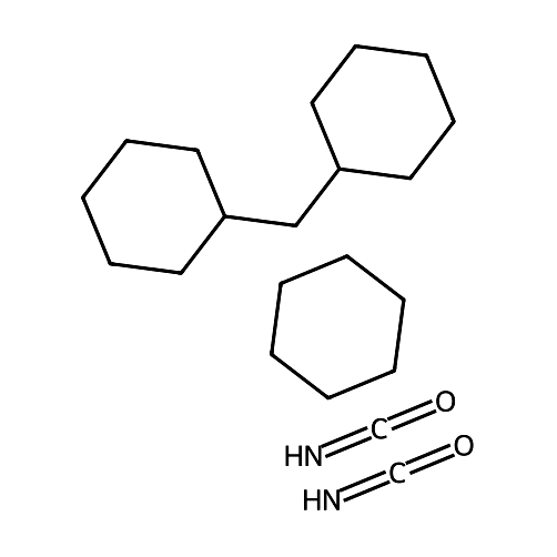 C1CCC(CC2CCCCC2)CC1.C1CCCCC1.N=C=O.N=C=O